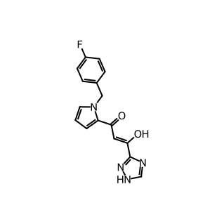 O=C(C=C(O)c1nc[nH]n1)c1cccn1Cc1ccc(F)cc1